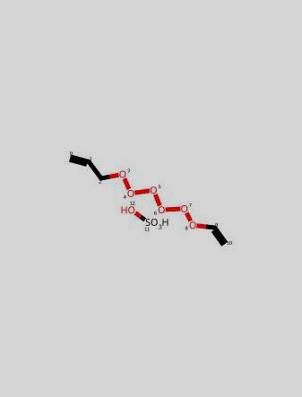 C=CCOOOOOOC=C.O=S(=O)(O)O